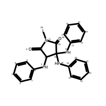 O=C1C(Pc2ccccc2)C(Pc2ccccc2)(Pc2ccccc2)C(=O)N1I